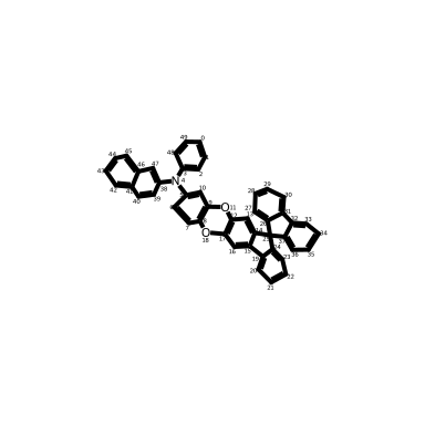 c1ccc(N(c2ccc3c(c2)Oc2cc4c(cc2O3)-c2ccccc2C42c3ccccc3-c3ccccc32)c2ccc3ccccc3c2)cc1